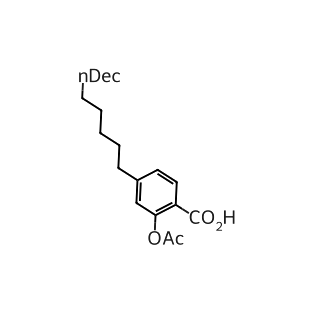 CCCCCCCCCCCCCCCc1ccc(C(=O)O)c(OC(C)=O)c1